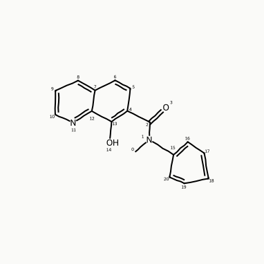 CN(C(=O)c1ccc2cccnc2c1O)c1ccccc1